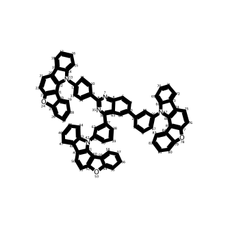 c1cc(-c2ccc3nc(-c4ccc(-n5c6ccccc6c6ccc7oc8ccccc8c7c65)cc4)nc(-c4cccc(-n5c6ccccc6c6ccc7oc8ccccc8c7c65)c4)c3c2)cc(-n2c3ccccc3c3ccc4oc5ccccc5c4c32)c1